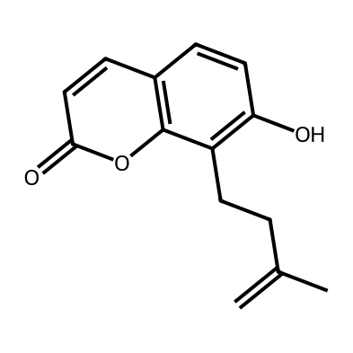 C=C(C)CCc1c(O)ccc2ccc(=O)oc12